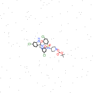 CC(C)(C)OC(=O)ON1CCC(NS(=O)(=O)c2ccc(Cl)cc2NC2(Cc3cccc(Cl)c3)C(=O)Nc3cc(Cl)ccc32)CC1